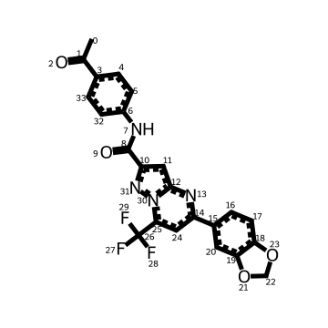 CC(=O)c1ccc(NC(=O)c2cc3nc(-c4ccc5c(c4)OCO5)cc(C(F)(F)F)n3n2)cc1